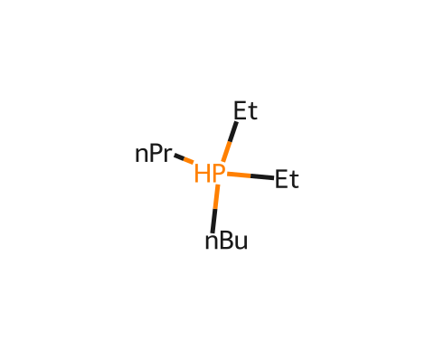 CCCC[PH](CC)(CC)CCC